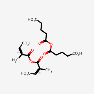 C/C(=C/C(=O)O)C(=O)OC(=O)/C(C)=C\C(=O)O.O=C(O)CCCC(=O)OC(=O)CCCC(=O)O